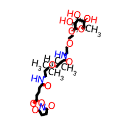 C[C@@H]1O[C@@H](OCCOCCNC(=O)C(C)(C)COC(C)(C)CCNC(=O)CCCC(=O)ON2C(=O)CCC2=O)[C@H](O)[C@H](O)[C@H]1O